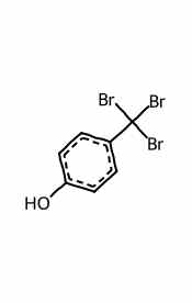 Oc1ccc(C(Br)(Br)Br)cc1